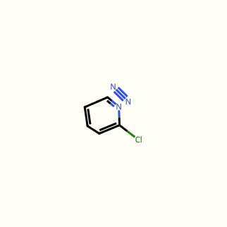 Clc1ccccn1.N#N